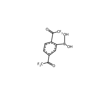 O=C(c1ccc(C(=O)C(F)(F)F)c(B(O)O)c1)C(F)(F)F